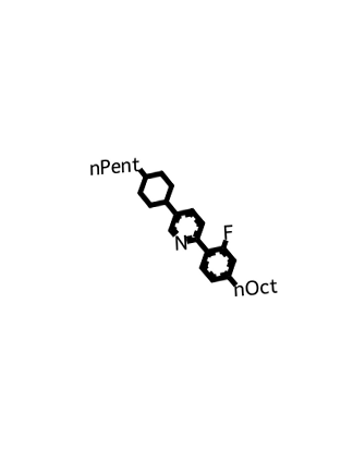 CCCCCCCCc1ccc(-c2ccc(C3CCC(CCCCC)CC3)cn2)c(F)c1